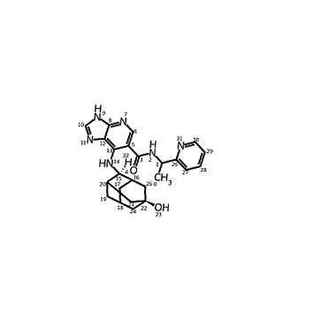 CC(NC(=O)c1cnc2[nH]cnc2c1N[C@H]1C2CC3CC1C[C@@](O)(C3)C2)c1ccccn1